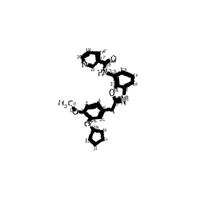 COc1ccc(Cc2nc3cccc(NC(=O)c4cccnc4)c3o2)cc1OC1CCCC1